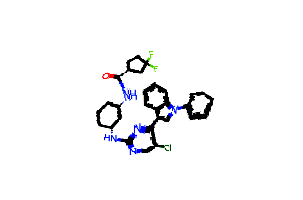 O=C(N[C@H]1CCC[C@@H](Nc2ncc(Cl)c(-c3cn(-c4ccccc4)c4ccccc34)n2)C1)[C@H]1CCC(F)(F)C1